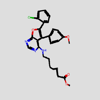 COC(=O)CCCCCNc1ncnc2oc(-c3ccccc3Cl)c(-c3ccc(OC)cc3)c12